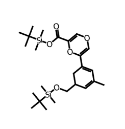 CC1=CC(CO[Si](C)(C)C(C)(C)C)CC(C2=COC=C(C(=O)O[Si](C)(C)C(C)(C)C)O2)=C1